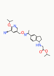 C/C(=N\OCc1cnc(OC(C)C)c(C#N)c1)c1ccc2c(c1)CCC2NCC(=O)OC(C)C